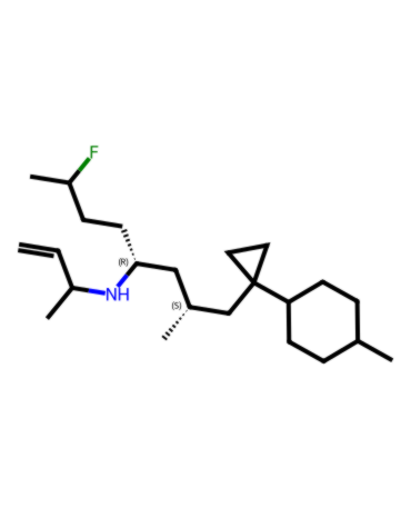 C=CC(C)N[C@H](CCC(C)F)C[C@@H](C)CC1(C2CCC(C)CC2)CC1